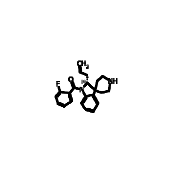 C=CC[C@H]1N(C(=O)c2ccccc2F)c2ccccc2C12CCNCC2